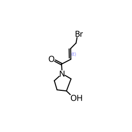 O=C(/C=C/CBr)N1CCC(O)C1